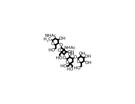 CC(=O)N[C@H]1C(O)[C@H](O[C@@H]2OC3(CO)[C@@H](O[C@@H]4OC(CO)(CO)CC(O[C@H]5OC(CO)[C@@H](O)C(O)C5O)C4O)C(O)C23NC(C)=O)C(CO)O[C@H]1C